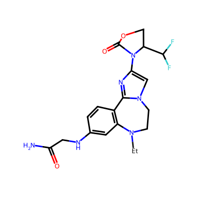 CCN1CCn2cc(N3C(=O)OCC3C(F)F)nc2-c2ccc(NCC(N)=O)cc21